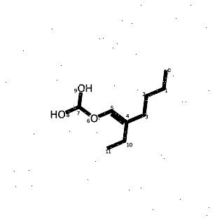 CCCCC(=COC(O)O)CC